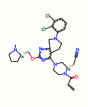 C=CC(=O)N1CCN(c2nc(OC[C@@H]3CCCN3C)nc3c2CCN(c2cccc(Cl)c2Cl)C3)C[C@@H]1CC#N